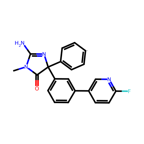 CN1C(=O)C(c2cc[c]cc2)(c2cccc(-c3ccc(F)nc3)c2)N=C1N